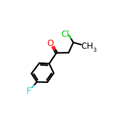 CC(Cl)CC(=O)c1ccc(F)cc1